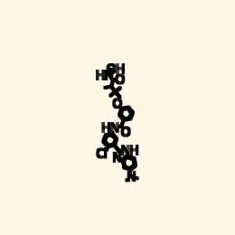 CC(C(=O)NO)C(C)(C)COc1cccc(C(=O)Nc2ccc(Cl)c(-c3nc4cc(N(C)C)ccc4[nH]3)c2)c1